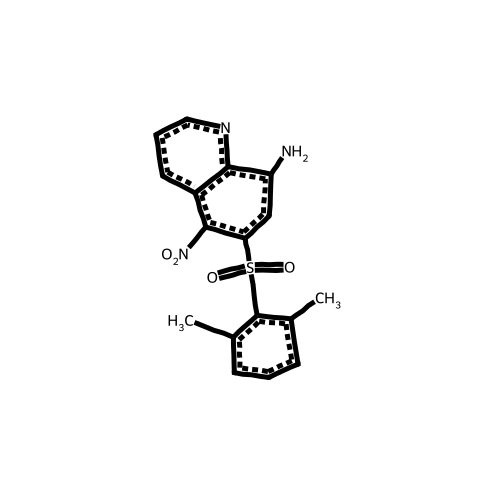 Cc1cccc(C)c1S(=O)(=O)c1cc(N)c2ncccc2c1[N+](=O)[O-]